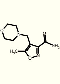 Cc1onc(C(N)=O)c1CN1CCOCC1